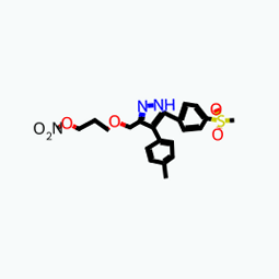 Cc1ccc(-c2c(COCCCO[N+](=O)[O-])n[nH]c2-c2ccc(S(C)(=O)=O)cc2)cc1